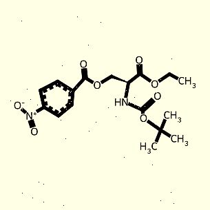 CCOC(=O)[C@H](COC(=O)c1ccc([N+](=O)[O-])cc1)NC(=O)OC(C)(C)C